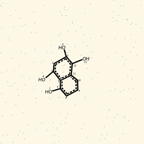 Oc1cc(O)c2c(O)cccc2c1O